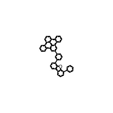 c1ccc(-c2cccc3c2oc2c(-c4cccc(-c5cc6c7ccccc7c7cccc8c9ccccc9c(c5)c6c78)c4)cccc23)cc1